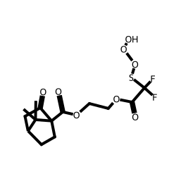 CC1(C)C2CCC1(C(=O)OCCOC(=O)C(F)(F)SOOO)C(=O)C2